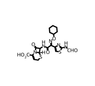 O=CNc1nc(C(=NOC2CCCCC2)C(=O)NC2C(=O)N3C(C(=O)O)=CCS[C@@H]23)cs1